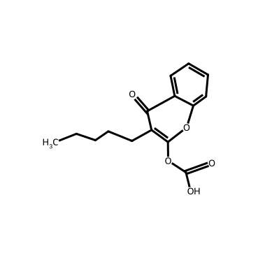 CCCCCc1c(OC(=O)O)oc2ccccc2c1=O